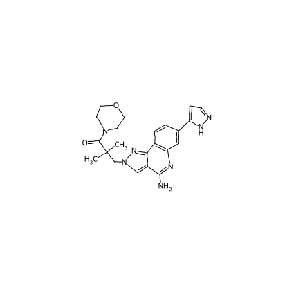 CC(C)(Cn1cc2c(N)nc3cc(-c4ccn[nH]4)ccc3c2n1)C(=O)N1CCOCC1